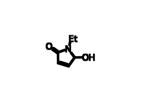 CCN1C(=O)C=CC1O